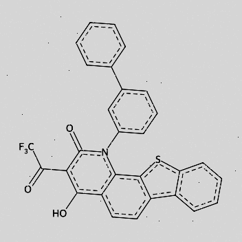 O=C(c1c(O)c2ccc3c4ccccc4sc3c2n(-c2cccc(-c3ccccc3)c2)c1=O)C(F)(F)F